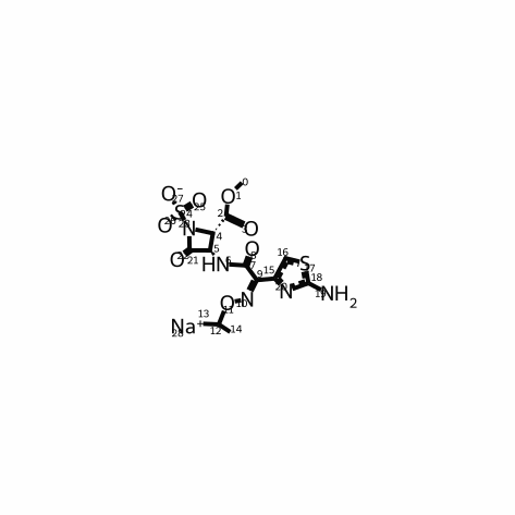 COC(=O)[C@@H]1[C@H](NC(=O)C(=NOC(C)C)c2csc(N)n2)C(=O)N1S(=O)(=O)[O-].[Na+]